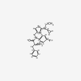 CCN(c1nc(CN(C(=O)[C@@H](N)Cc2ccccc2)c2ccc(F)cc2)cs1)C1CC1